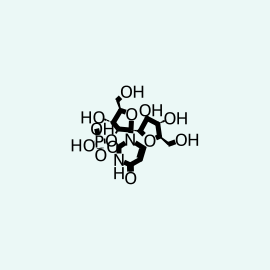 O=c1ccn([C@]2(C3O[C@H](CO)[C@@H](O)[C@H]3O)O[C@H](CO)[C@@H](O)[C@H]2OP(=O)(O)O)c(=O)[nH]1